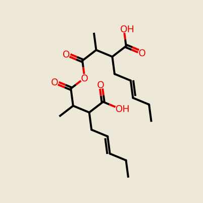 CC/C=C/CC(C(=O)O)C(C)C(=O)OC(=O)C(C)C(C/C=C/CC)C(=O)O